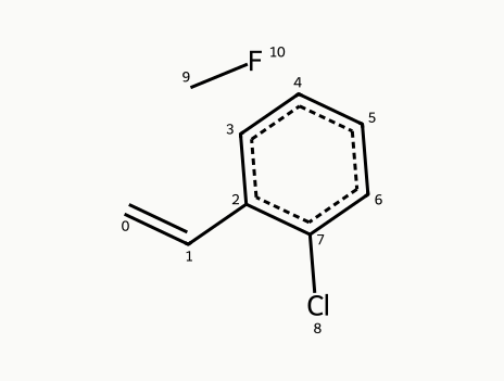 C=Cc1ccccc1Cl.CF